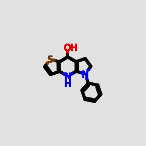 OC1C2=C(Nc3ccsc31)N(c1ccccc1)CC2